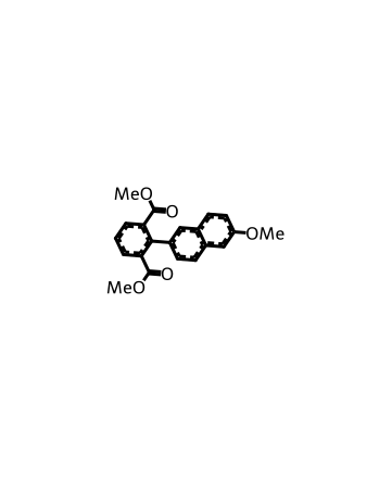 COC(=O)c1cccc(C(=O)OC)c1-c1ccc2cc(OC)ccc2c1